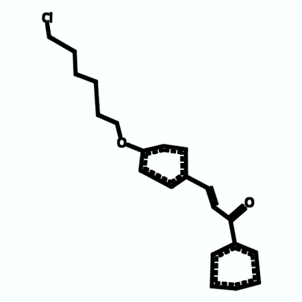 O=C(C=Cc1ccc(OCCCCCCCl)cc1)c1ccccc1